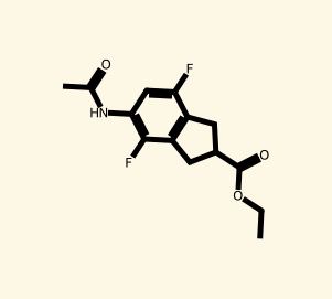 CCOC(=O)C1Cc2c(F)cc(NC(C)=O)c(F)c2C1